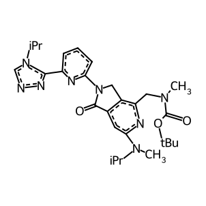 CC(C)N(C)c1cc2c(c(CN(C)C(=O)OC(C)(C)C)n1)CN(c1cccc(-c3nncn3C(C)C)n1)C2=O